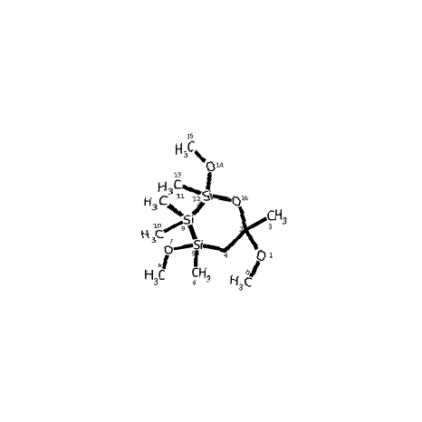 COC1(C)C[Si](C)(OC)[Si](C)(C)[Si](C)(OC)O1